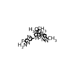 Cc1ncnc2c1ccn2[C@@H]1O[C@@H]2[C@H](Cc3cnc4cc(F)c(N)nc4c3)CC[C@@]23OC(C)(C)O[C@@H]13